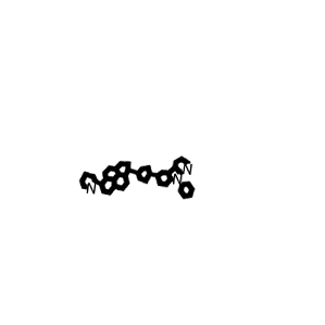 c1ccc(-n2c3ccc(-c4ccc(-c5ccc6ccc7c(-c8ccccn8)ccc8ccc5c6c87)cc4)cc3c3cccnc32)cc1